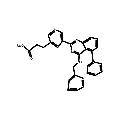 COC(=O)CCc1cncc(-c2nc(NCc3ccccn3)c3c(-c4ccccc4)cccc3n2)c1